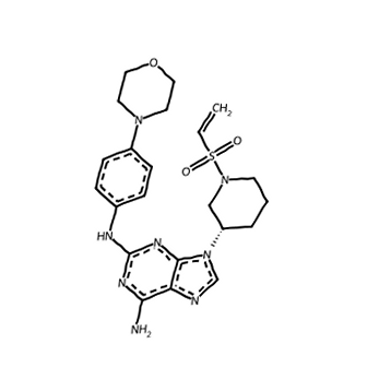 C=CS(=O)(=O)N1CCC[C@H](n2cnc3c(N)nc(Nc4ccc(N5CCOCC5)cc4)nc32)C1